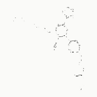 CCCC[S+]([O-])CSc1nc(-c2nccs2)cc(-c2ccc(COCC(=O)OC)cc2)c1C#N